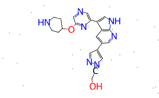 OCCn1cc(-c2cnc3[nH]cc(-c4cncc(OC5CCNCC5)n4)c3c2)cn1